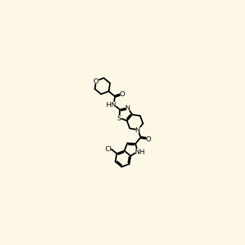 O=C(Nc1nc2c(s1)CN(C(=O)c1cc3c(Cl)cccc3[nH]1)CC2)C1CCOCC1